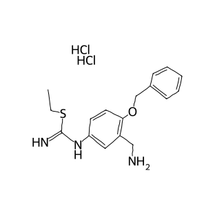 CCSC(=N)Nc1ccc(OCc2ccccc2)c(CN)c1.Cl.Cl